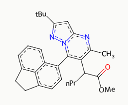 CCCC(C(=O)OC)c1c(C)nc2cc(C(C)(C)C)nn2c1-c1ccc2c3c(cccc13)CC2